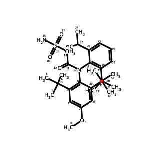 COc1cc(C(C)(C)C)c(N(C(=O)OS(N)(=O)=O)c2c(C(C)C)cccc2C(C)C)c(C(C)(C)C)c1